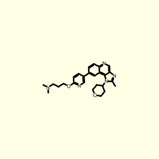 Cc1nc2cnc3ccc(-c4ccc(OCCCN(C)C)nc4)cc3c2n1C1CCOCC1